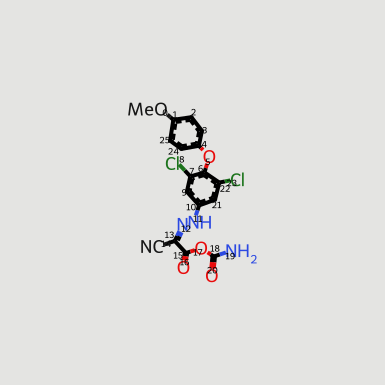 COc1ccc(Oc2c(Cl)cc(NN=C(C#N)C(=O)OC(N)=O)cc2Cl)cc1